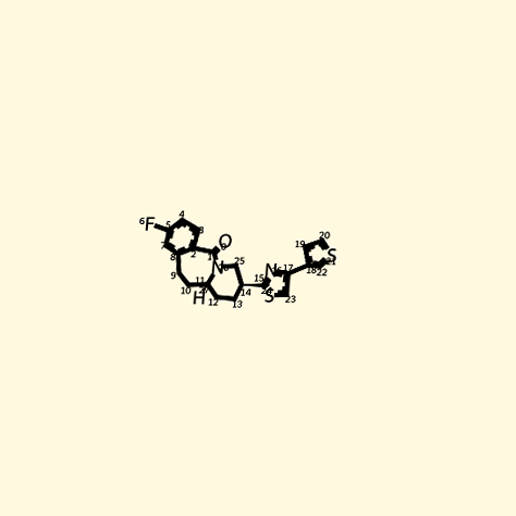 O=C1c2ccc(F)cc2CC[C@@H]2CC[C@H](c3nc(-c4ccsc4)cs3)CN12